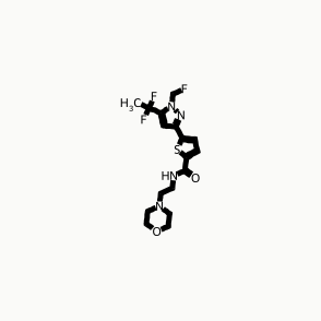 CC(F)(F)c1cc(-c2ccc(C(=O)NCCN3CCOCC3)s2)nn1CF